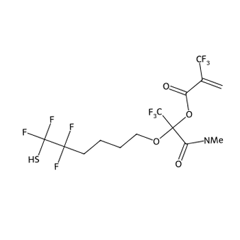 C=C(C(=O)OC(OCCCCC(F)(F)C(F)(F)S)(C(=O)NC)C(F)(F)F)C(F)(F)F